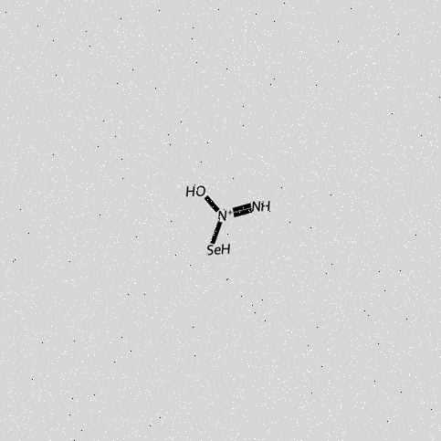 N=[N+](O)[SeH]